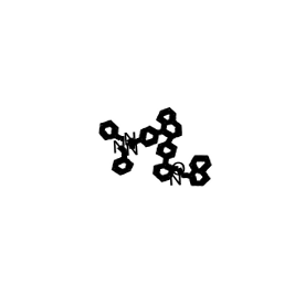 c1ccc(-c2nc(-c3ccccc3)nc(-c3ccc(-c4c(-c5ccc(-c6cccc7nc(-c8cccc9ccccc89)oc67)cc5)ccc5ccccc45)cc3)n2)cc1